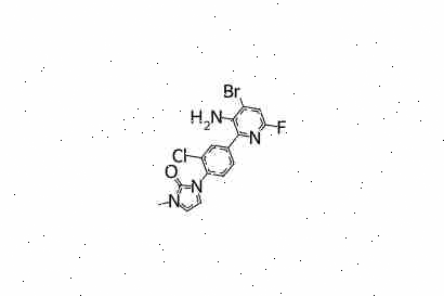 Cn1ccn(-c2ccc(-c3nc(F)cc(Br)c3N)cc2Cl)c1=O